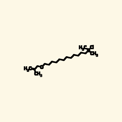 C=C(C)COCCCCCCCCCCCC[Si](C)(C)Cl